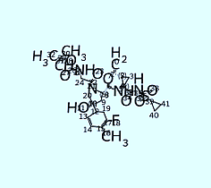 C=C[C@@H]1C[C@]1(NC(=O)[C@@H]1C[C@@](O)(C2C=CC(C)=C(F)C2)CN1C(=O)CNC(=O)OC(C)(C)C)C(=O)NS(=O)(=O)C1CC1